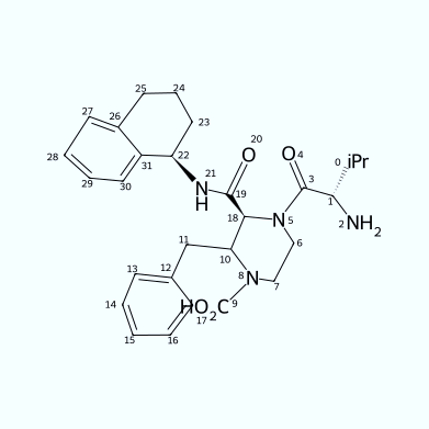 CC(C)[C@H](N)C(=O)N1CCN(C(=O)O)C(Cc2ccccc2)[C@H]1C(=O)N[C@@H]1CCCc2ccccc21